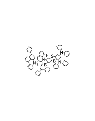 Fc1cccc(F)c1N1c2cc3c(cc2B2c4ccccc4N(c4ccccc4)c4cc(N(c5ccc(-c6ccccc6)cc5)c5ccccc5-c5ccccc5)cc1c42)B1c2ccccc2N(c2ccccc2)c2cc(N(c4ccccc4)c4ccccc4)cc(c21)S3